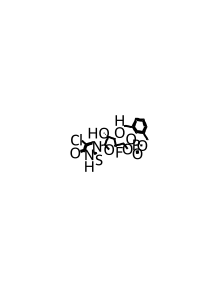 Cc1cccc2c1OP(=O)(OC[C@@]1(F)O[C@@H](n3cc(Cl)c(=O)[nH]c3=S)[C@H](O)[C@@H]1O)OC2